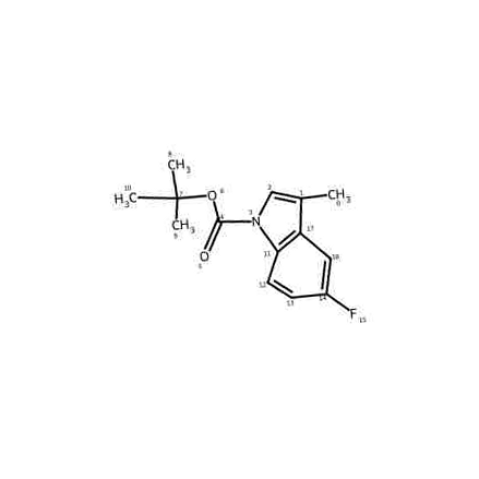 Cc1cn(C(=O)OC(C)(C)C)c2ccc(F)cc12